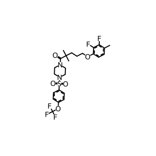 Cc1ccc(OCCCC(C)(C)C(=O)N2CCN(S(=O)(=O)c3ccc(OC(F)(F)F)cc3)CC2)c(F)c1F